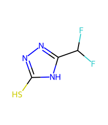 FC(F)c1nnc(S)[nH]1